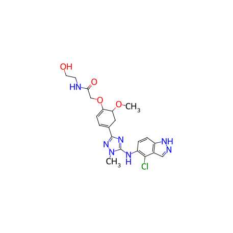 COC1CC(c2nc(Nc3ccc4[nH]ncc4c3Cl)n(C)n2)=CC=C1OCC(=O)NCCO